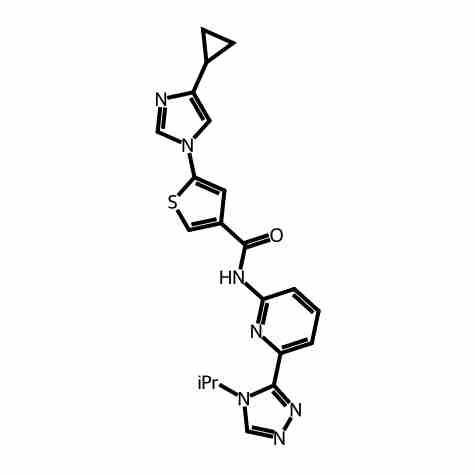 CC(C)n1cnnc1-c1cccc(NC(=O)c2csc(-n3cnc(C4CC4)c3)c2)n1